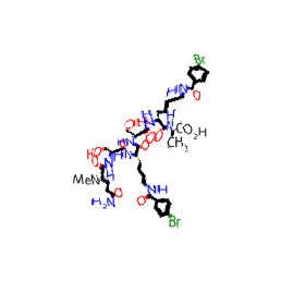 CN[C@@H](CCC(N)=O)C(=O)N[C@@H](CO)C(=O)N[C@@H](CCCCNC(=O)c1ccc(Br)cc1)C(=O)N[C@@H](CO)C(=O)N[C@@H](CCCCNC(=O)c1ccc(Br)cc1)C(=O)N[C@@H](C)C(=O)O